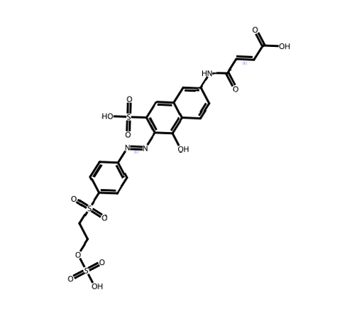 O=C(O)/C=C/C(=O)Nc1ccc2c(O)c(/N=N/c3ccc(S(=O)(=O)CCOS(=O)(=O)O)cc3)c(S(=O)(=O)O)cc2c1